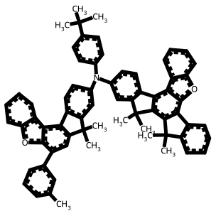 Cc1cccc(-c2cc3c(c4c2oc2ccccc24)-c2ccc(N(c4ccc(C(C)(C)C)cc4)c4ccc5c(c4)C(C)(C)c4c6c(c7oc8ccccc8c7c4-5)-c4ccccc4C6(C)C)cc2C3(C)C)c1